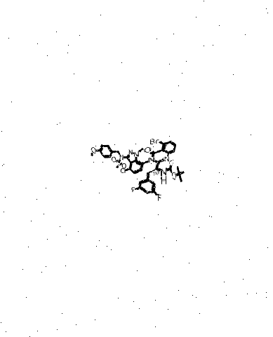 COc1ccc(CN(c2nn(C)c3c(-n4c([C@H](Cc5cc(F)cc(F)c5)NC(=O)OC(C)(C)C)nc5cccc(Br)c5c4=O)ccc(Cl)c23)S(C)(=O)=O)cc1